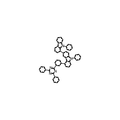 c1ccc(-c2nc(-c3ccccc3)nc(-c3cccc(-c4cccc5c4c4cc(-c6cccc7c8ccccc8n(-c8ccccc8)c67)ccc4n5-c4ccccc4)c3)n2)cc1